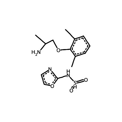 Cc1cccc(C)c1OCC(C)N.O=[SH](=O)Nc1ncco1